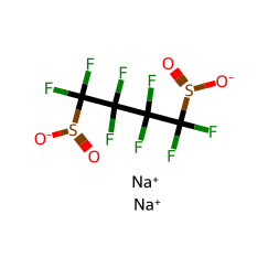 O=S([O-])C(F)(F)C(F)(F)C(F)(F)C(F)(F)S(=O)[O-].[Na+].[Na+]